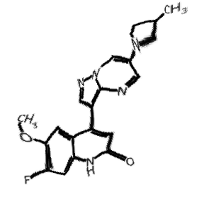 COc1cc2c(-c3cnn4cc(N5CC(C)C5)cnc34)cc(=O)[nH]c2cc1F